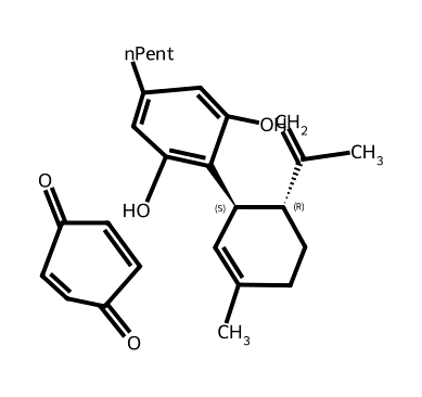 C=C(C)[C@@H]1CCC(C)=C[C@H]1c1c(O)cc(CCCCC)cc1O.O=C1C=CC(=O)C=C1